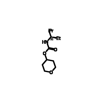 CC[C@@H](NC(=O)OC1CCOCC1)C(C)C